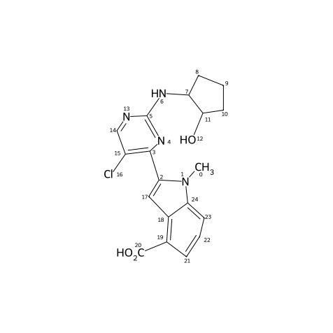 Cn1c(-c2nc(NC3CCCC3O)ncc2Cl)cc2c(C(=O)O)cccc21